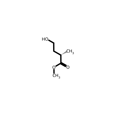 COC(=O)[C@@H](C)CCO